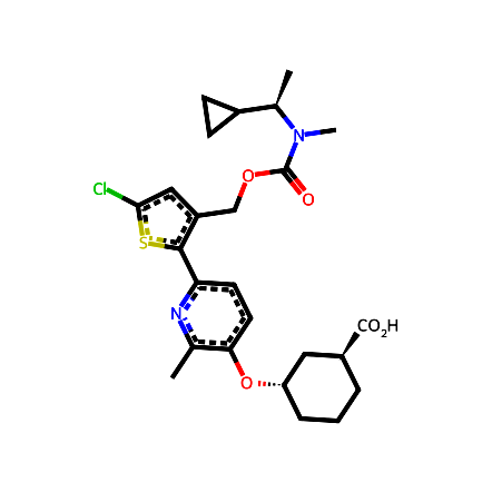 Cc1nc(-c2sc(Cl)cc2COC(=O)N(C)[C@H](C)C2CC2)ccc1O[C@H]1CCC[C@H](C(=O)O)C1